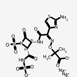 CC(C)(ON=C(C(=O)N[C@H]1C(=O)N(S(=O)(=O)[O-])[C@H]1C(=O)NS(=O)(=O)[O-])c1csc(N)n1)C(=O)[O-].[Na+].[Na+].[Na+]